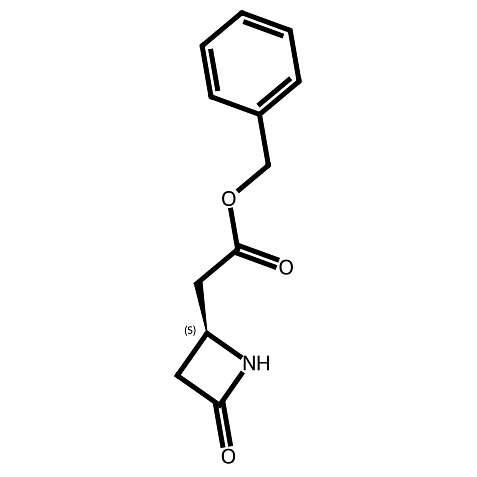 O=C1C[C@@H](CC(=O)OCc2ccccc2)N1